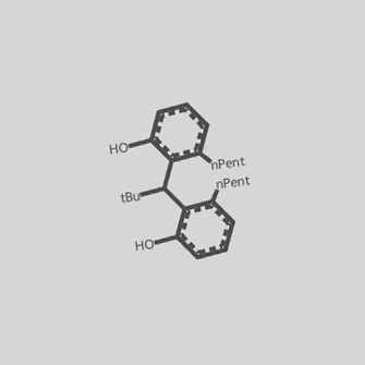 CCCCCc1cccc(O)c1C(c1c(O)cccc1CCCCC)C(C)(C)C